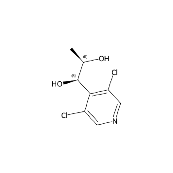 C[C@@H](O)[C@H](O)c1c(Cl)cncc1Cl